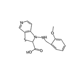 COc1ccccc1CNN1c2ccncc2SC1C(=O)O